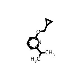 CC(C)c1cccc(OCC2CC2)n1